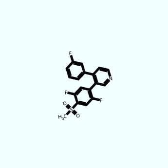 CS(=O)(=O)c1cc(F)c(-c2cnccc2-c2cccc(F)c2)cc1F